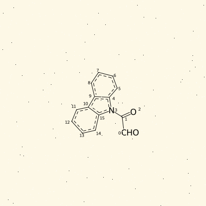 O=CC(=O)n1c2ccccc2c2ccccc21